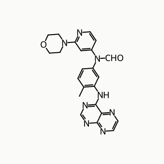 Cc1ccc(N(C=O)c2ccnc(N3CCOCC3)c2)cc1Nc1ncnc2nccnc12